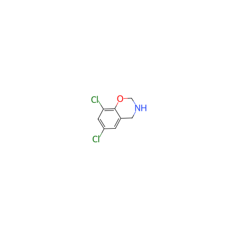 Clc1cc(Cl)c2c(c1)CNCO2